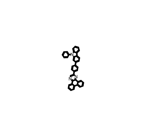 c1ccc(-n2c3ccccc3c3ccc(-c4ccc(-c5cnc6c7ccccc7c7ccccc7c6n5)cc4)cc32)cc1